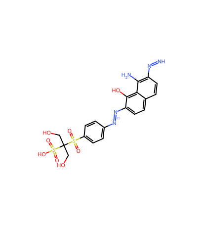 N=Nc1ccc2ccc(/N=N/c3ccc(S(=O)(=O)C(CO)(CO)S(=O)(=O)O)cc3)c(O)c2c1N